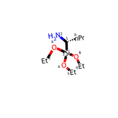 CCC[C@@H](N)[Si](OCC)(OCC)OCC